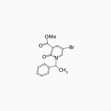 COC(=O)c1cc(Br)cn(C(C)c2ccccc2)c1=O